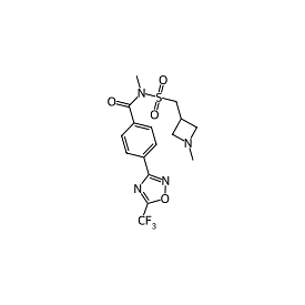 CN1CC(CS(=O)(=O)N(C)C(=O)c2ccc(-c3noc(C(F)(F)F)n3)cc2)C1